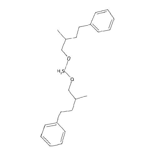 CC(CCc1ccccc1)CO[SiH2]OCC(C)CCc1ccccc1